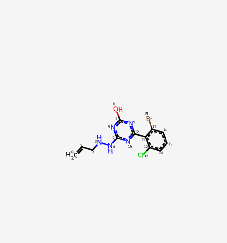 C=CCNNc1nc(O)nc(-c2c(Cl)cccc2Br)n1